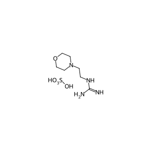 N=C(N)NCCN1CCOCC1.O=S(=O)(O)O